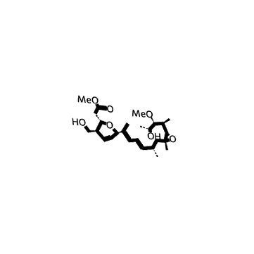 COC(=O)C[C@@H]1O[C@H](/C(C)=C/C=C/[C@@H](C)C[C@@]2(C)O[C@@H]2[C@H](C)[C@@H](OC)[C@@H](C)O)C=C[C@H]1CO